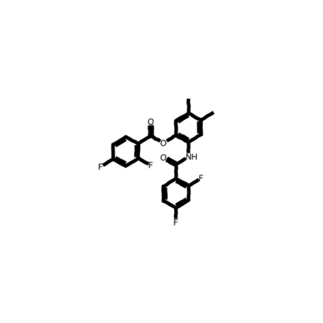 Cc1cc(NC(=O)c2ccc(F)cc2F)c(OC(=O)c2ccc(F)cc2F)cc1C